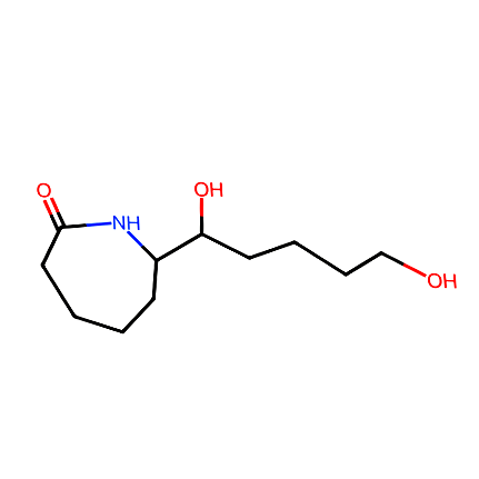 O=C1CCCCC(C(O)CCCCO)N1